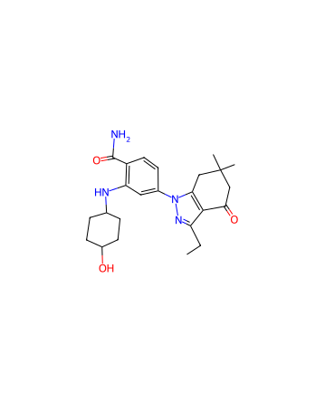 CCc1nn(-c2ccc(C(N)=O)c(NC3CCC(O)CC3)c2)c2c1C(=O)CC(C)(C)C2